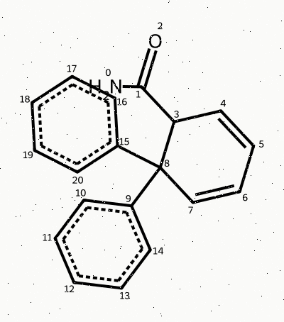 NC(=O)C1C=CC=CC1(c1ccccc1)c1ccccc1